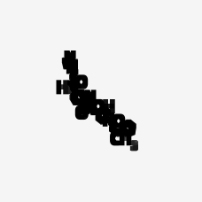 CC(CC(=O)N1CCC(O)(Cn2cnc3cc(NC(=O)CCn4ccnc4)ccc3c2=O)CC1)c1ccccc1